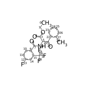 CCOC(=O)C(NC(=O)c1ccc(F)cc1C(F)(F)F)C(=O)c1ccccc1C